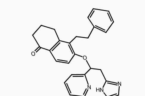 O=C1CCCc2c1ccc(OC(Cc1ncc[nH]1)c1ccccn1)c2CCc1ccccc1